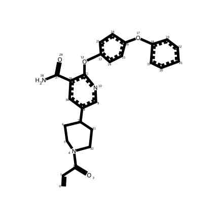 C=CC(=O)N1CCC(c2cnc(Oc3ccc(Oc4ccccc4)cc3)c(C(N)=O)c2)CC1